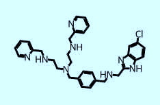 Clc1ccc2[nH]c(CNCc3ccc(CN(CCNCc4ccccn4)CCNCc4ccccn4)cc3)nc2c1